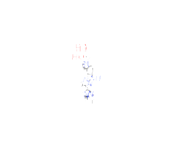 Cc1cnc(Nc2ccc3c(ccn3CC(O)CO)c2)nc1-c1cnn(C(C)C)c1